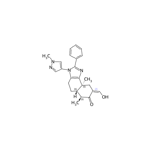 C[C@@H]1C(=O)/C(=C\O)C[C@]2(C)c3nc(-c4ccccc4)n(-c4cnn(C)c4)c3CC[C@@H]12